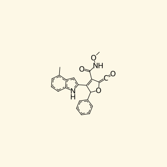 CONC(=O)C1=C(c2cc3c(C)cccc3[nH]2)C(c2ccccc2)OC1=C=O